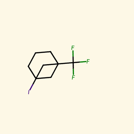 FC(F)(F)C12CCCC(I)(C1)C2